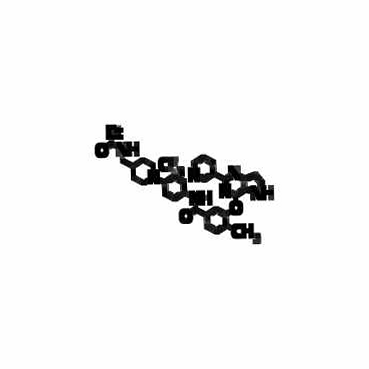 CCC(=O)NCC1CCN(c2ccc(NC(=O)c3ccc(C)c(Oc4nc(-c5cccnc5)nc5cc[nH]c45)c3)cc2C(F)(F)F)CC1